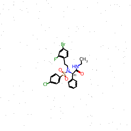 CCNC(=O)[C@@H](c1ccccc1)N(CCc1ccc(Br)cc1F)S(=O)(=O)c1ccc(Cl)cc1